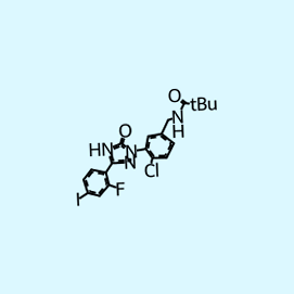 CC(C)(C)C(=O)NCc1ccc(Cl)c(-n2nc(-c3ccc(I)cc3F)[nH]c2=O)c1